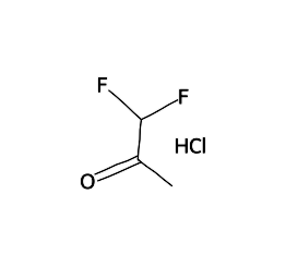 CC(=O)C(F)F.Cl